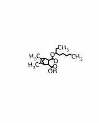 CCCCCC(CC)OC(=O)C1C2CC(C(C)C2C)C1C(=O)O